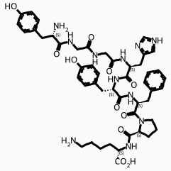 NCCCC[C@H](NC(=O)[C@@H]1CCCN1C(=O)[C@H](Cc1ccccc1)NC(=O)[C@H](Cc1ccc(O)cc1)NC(=O)[C@H](Cc1c[nH]cn1)NC(=O)CNC(=O)CNC(=O)[C@@H](N)Cc1ccc(O)cc1)C(=O)O